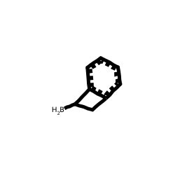 BC1Cc2ccccc21